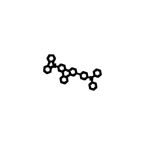 c1ccc(N(c2ccccc2)c2ccc(-c3ccc4c5ccc(-n6c7ccccc7c7ccccc76)cc5c5ccccc5c4c3)cc2)cc1